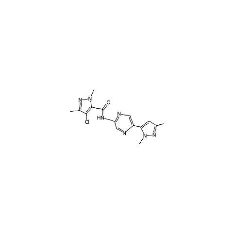 Cc1cc(-c2cnc(NC(=O)c3c(Cl)c(C)nn3C)cn2)n(C)n1